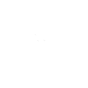 CCCCCCCCn1cc(-c2ccc(F)cc2)nn1